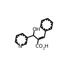 O=C(O)C(=Cc1ccccc1)C(O)c1cccnc1